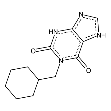 O=c1[nH]c2nc[nH]c2c(=O)n1CC1CCCCC1